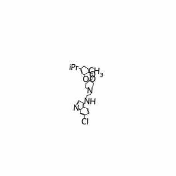 CC(C)C1=CC2OC3(CCN(CCNc4ccnc5cc(Cl)ccc45)CC3)OOC2(C)CC1